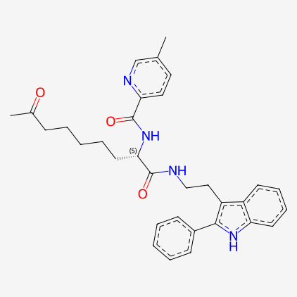 CC(=O)CCCCC[C@H](NC(=O)c1ccc(C)cn1)C(=O)NCCc1c(-c2ccccc2)[nH]c2ccccc12